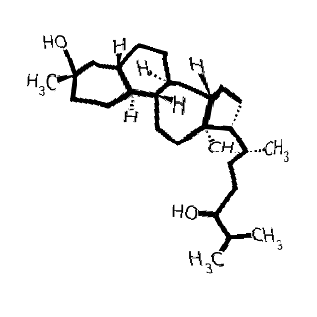 CC(C)C(O)CC[C@@H](C)[C@H]1CC[C@H]2[C@@H]3CC[C@H]4C[C@@](C)(O)CC[C@@H]4[C@H]3CC[C@]12C